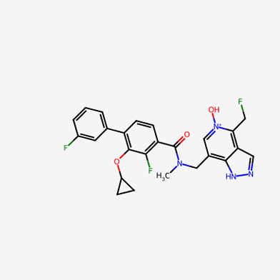 CN(Cc1c[n+](O)c(CF)c2cn[nH]c12)C(=O)c1ccc(-c2cccc(F)c2)c(OC2CC2)c1F